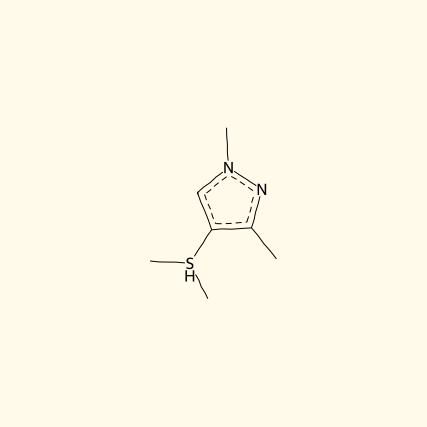 Cc1nn(C)cc1[SH](C)C